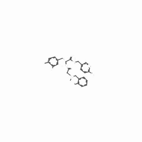 CN(CC(=O)N[C@@H](Cc1ccc(F)c(F)c1)C(=O)NCc1ccc(N)nc1)Cc1ccccc1Cl